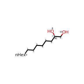 CCCCCCCCCCCC[C@@H](O)CO